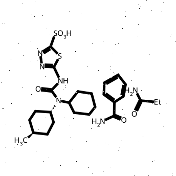 CCC(N)=O.C[C@H]1CC[C@H](N(C(=O)Nc2nnc(S(=O)(=O)O)s2)C2CCCCC2)CC1.NC(=O)c1ccccc1